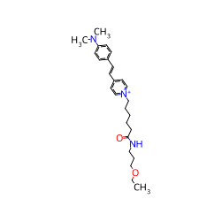 CCOCCCNC(=O)CCCCC[n+]1ccc(C=Cc2ccc(N(C)C)cc2)cc1